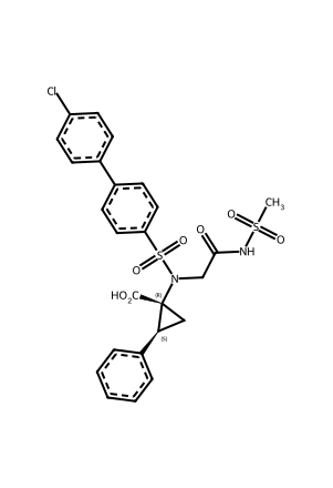 CS(=O)(=O)NC(=O)CN([C@]1(C(=O)O)C[C@H]1c1ccccc1)S(=O)(=O)c1ccc(-c2ccc(Cl)cc2)cc1